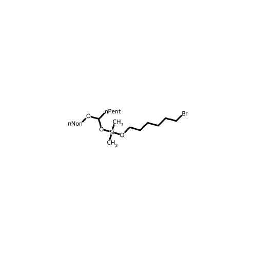 CCCCCCCCCOC(CCCCC)O[Si](C)(C)OCCCCCCBr